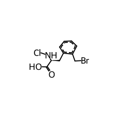 O=C(O)[C@H](Cc1ccccc1CBr)NCl